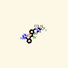 CCCCc1nc(C(F)(F)F)c(C(=O)O)n1Cc1ccc2oc(-c3ccccc3-c3nnn[nH]3)c(Br)c2c1